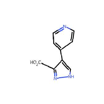 O=C(O)c1n[nH]cc1-c1ccncc1